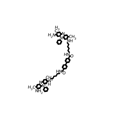 Cc1cc2nc3cc(C)c(NCCCCCCNC(=O)c4ccc(-c5ccc(C(=O)NCCCCCCNc6cc7c(cc6C)nc6cc(C)c(N)cc6[n+]7-c6ccccc6)cc5)cc4)cc3[n+](-c3ccccc3)c2cc1N